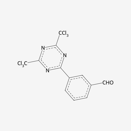 O=Cc1cccc(-c2nc(C(Cl)(Cl)Cl)nc(C(Cl)(Cl)Cl)n2)c1